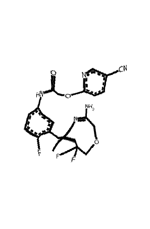 CC1(c2cc(NC(=O)Oc3ccc(C#N)cn3)ccc2F)N=C(N)COCC1(F)F